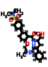 CCCOc1ccc(-c2ccc(S(=O)(=O)N(C)C)cc2)cc1C(=O)NC(CO)Cc1c[nH]c2ccccc12